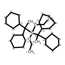 CCO[Si](OCC)(C(C)(C1CCCCC1)C1CCCCC1)C(C)(C1CCCCC1)C1CCCCC1